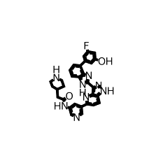 O=C(CC1CCNCC1)Nc1cncc(-c2ccc3[nH]nc(-c4nc5c(-c6cc(O)cc(F)c6)cccc5[nH]4)c3n2)c1